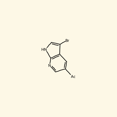 CC(=O)c1cnc2[nH]cc(Br)c2c1